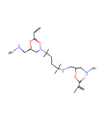 C=CC(=O)OC(CNC(C)(C)C)CNC(C)(C)CCC(C)(C)NCC(CNC(C)(C)C)OC(=O)C(=C)C